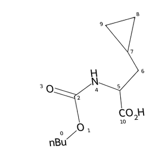 CCCCOC(=O)NC(CC1CC1)C(=O)O